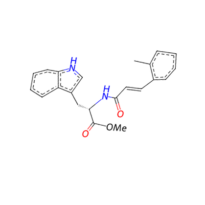 COC(=O)[C@H](Cc1c[nH]c2ccccc12)NC(=O)/C=C/c1ccccc1C